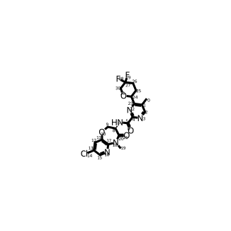 Cc1cnc(C(=O)N[C@H]2COc3cc(Cl)cnc3N(C)C2=O)nc1C1CCC(F)(F)CO1